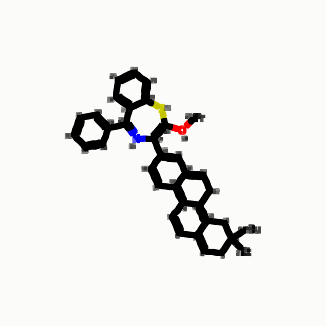 CCCCC1(CC)CC=c2ccc3c(c2C1)CC=c1cc(C2=C(OC(C)C)Sc4ccccc4C(c4ccccc4)=N2)ccc1=3